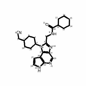 N#CCC1CCC(n2c(CNC(=O)C3CCCCC3)nc3cnc4[nH]ccc4c32)CC1